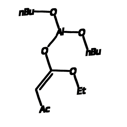 CCCC[O][Al]([O]CCCC)[O]C(=CC(C)=O)OCC